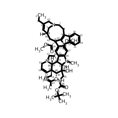 CCC1=C[C@@H]2CN(CCc3c([nH]c4ccccc34)[C@@](C(=O)OC)(c3cc4c(cc3OC)N(C)[C@H]3C(O)(CNC(=O)OC(C)(C)C)[C@H](OC(C)=O)[C@]5(CC)C=CCN6CC[C@]43[C@@H]65)C2)C1